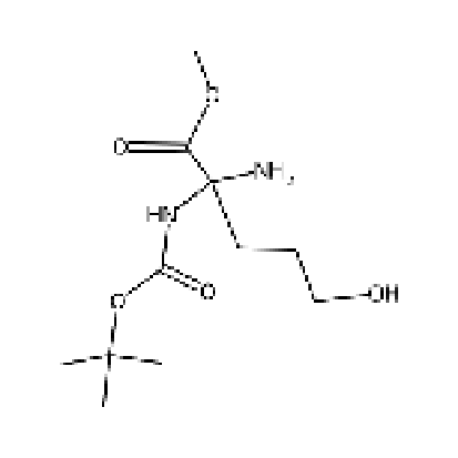 COC(=O)C(N)(CCCO)NC(=O)OC(C)(C)C